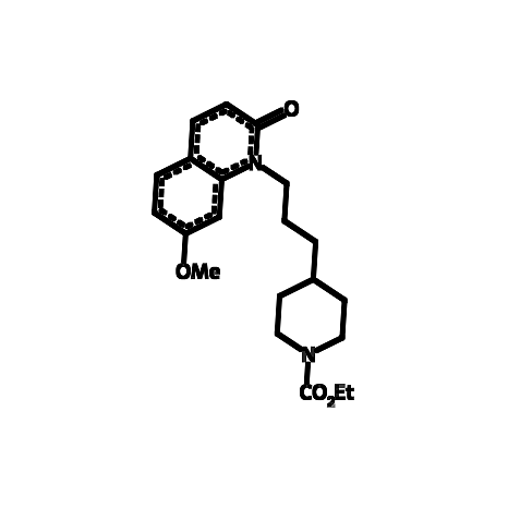 CCOC(=O)N1CCC(CCCn2c(=O)ccc3ccc(OC)cc32)CC1